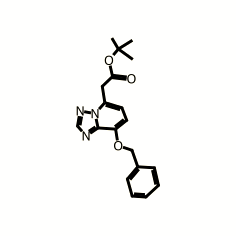 CC(C)(C)OC(=O)Cc1ccc(OCc2ccccc2)c2ncnn12